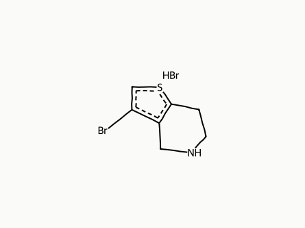 Br.Brc1csc2c1CNCC2